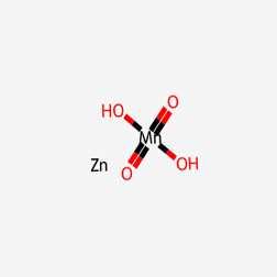 [O]=[Mn](=[O])([OH])[OH].[Zn]